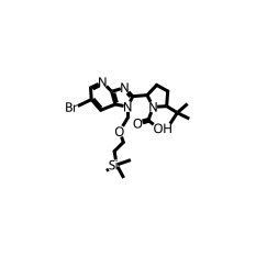 CC(C)(C)C1CCC(c2nc3ncc(Br)cc3n2COCC[Si](C)(C)C)N1C(=O)O